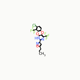 CCCc1cc(-c2nc(C(F)(F)F)c(Oc3ccc(Cl)c(C(F)(F)F)c3)c(=O)[nH]2)no1